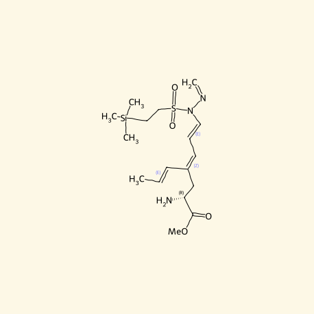 C=NN(/C=C/C=C(\C=C\C)C[C@@H](N)C(=O)OC)S(=O)(=O)CC[Si](C)(C)C